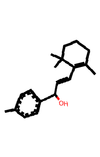 CC1=C(C=CC(O)c2ccc(C)cc2)C(C)(C)CCC1